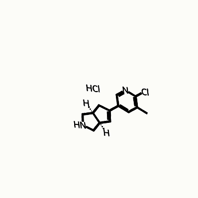 Cc1cc(C2=C[C@H]3CNC[C@H]3C2)cnc1Cl.Cl